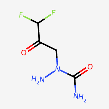 NC(=O)N(N)CC(=O)C(F)F